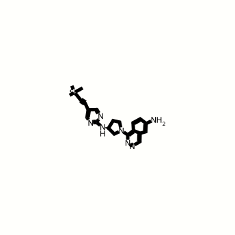 C[Si](C)(C)C#Cc1cnc(N[C@@H]2CCN(c3nncc4cc(N)ccc34)C2)nc1